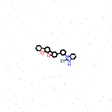 CCC1NC2C=CC=CC2N1c1cccc(-c2ccc3oc4c5c(ccc4c3c2)C2C=CC=CC2O5)c1